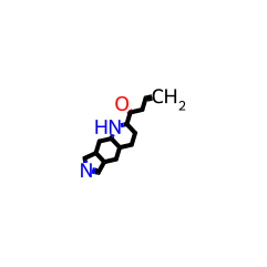 C=CCC(=O)C1CCC2CC3C=NCC3CC2N1